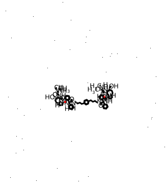 CC[C@H](NC)C(=O)N[C@@H]1C(=O)N2[C@@H](CC[C@@H]1CO)CC[C@H]2C(=O)NC(C(=O)NCCCCc1ccc(CCCCNC(=O)C(NC(=O)[C@@H]2CC[C@@H]3CC[C@H](CO)[C@H](NC(=O)[C@H](CC)NC)C(=O)N32)(c2ccccc2)c2ccccc2)cc1)(c1ccccc1)c1ccccc1